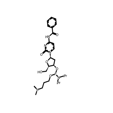 CC(C)N(C(C)C)P(OCCCN(C)C)O[C@@H]1C[C@H](n2ccc(NC(=O)c3ccccc3)nc2=O)O[C@@H]1CO